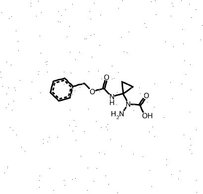 NN(C(=O)O)C1(NC(=O)OCc2ccccc2)CC1